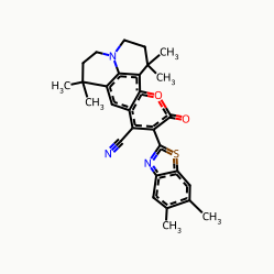 Cc1cc2nc(-c3c(C#N)c4cc5c6c(c4oc3=O)C(C)(C)CCN6CCC5(C)C)sc2cc1C